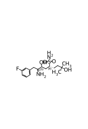 CC(C)(O)CC[C@H](C[C@H](O)[C@@H](N)Cc1cccc(F)c1)S(N)(=O)=O